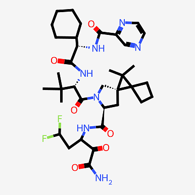 CC(C)(C)[C@H](NC(=O)[C@@H](NC(=O)c1cnccn1)C1CCCCC1)C(=O)N1C[C@]2(C[C@H]1C(=O)NC(CC(F)F)C(=O)C(N)=O)C(C)(C)C21CCC1